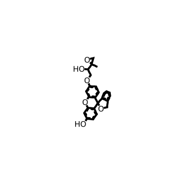 CC1(C(O)COc2ccc3c(c2)Oc2cc(O)ccc2C32OCc3ccccc32)CO1